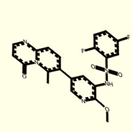 COc1ncc(-c2ccc3nccc(=O)n3c2C)cc1NS(=O)(=O)c1cc(F)ccc1F